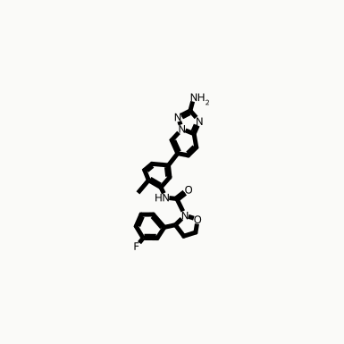 Cc1ccc(-c2ccc3nc(N)nn3c2)cc1NC(=O)N1OCCC1c1cccc(F)c1